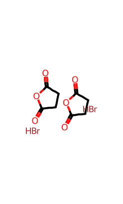 Br.Br.O=C1CCC(=O)O1.O=C1CCC(=O)O1